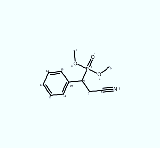 COP(=O)(OC)C(CC#N)c1ccccc1